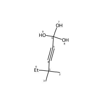 CCC(C)(C)C#CC(O)(O)O